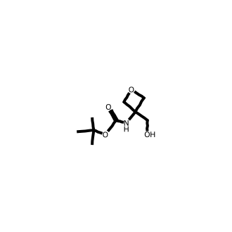 CC(C)(C)OC(=O)NC1(CO)COC1